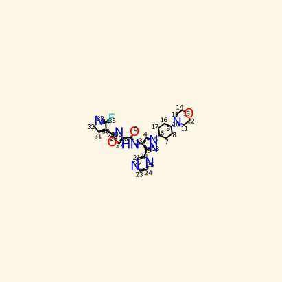 O=C(Nc1cn([C@H]2CC[C@H](N3CCOCC3)CC2)nc1-c1cnccn1)c1coc(C2=CCN=C2F)n1